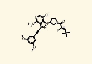 COc1cc(C#Cc2nn(C3CCN(C(=O)/C(F)=C/C(C)(C)C)C3)c3c(Cl)cnc(N)c23)cc(OC)c1